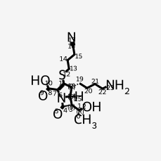 C[C@@H](O)[C@H]1C(=O)N2C(C(=O)O)=C(SCCCC#N)[C@H](CCCCN)[C@H]12